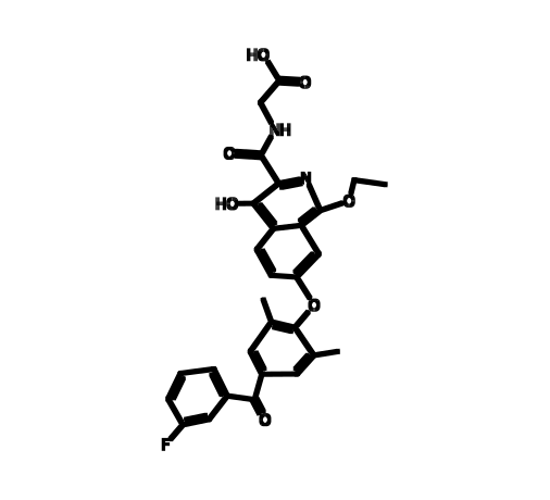 CCOc1nc(C(=O)NCC(=O)O)c(O)c2ccc(Oc3c(C)cc(C(=O)c4cccc(F)c4)cc3C)cc12